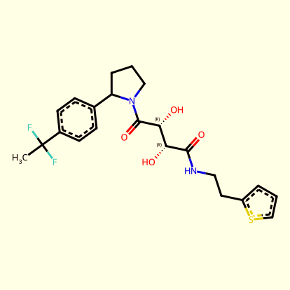 CC(F)(F)c1ccc(C2CCCN2C(=O)[C@H](O)[C@@H](O)C(=O)NCCc2cccs2)cc1